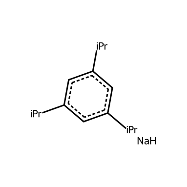 CC(C)c1cc(C(C)C)cc(C(C)C)c1.[NaH]